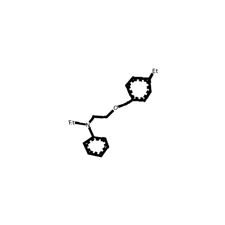 CCc1ccc(COCCN(CC)c2ccccc2)cc1